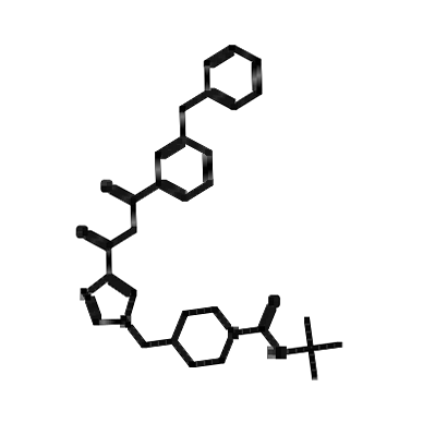 CC(C)(C)NC(=O)N1CCC(Cn2cnc(C(=O)CC(=O)c3cccc(Cc4ccccc4)c3)c2)CC1